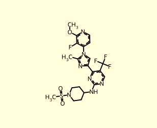 COc1nccc(-n2cc(-c3nc(NC4CCN(S(C)(=O)=O)CC4)ncc3C(F)(F)F)nc2C)c1F